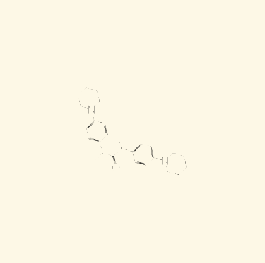 CC(C(=O)C(C)c1ccc(N2CCCCC2)cc1)c1ccc(N2CCCCC2)cc1